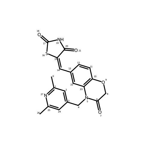 Cc1cc(CN2C(=O)COc3ccc(C=C4SC(=O)NC4=O)cc32)cc(C)n1